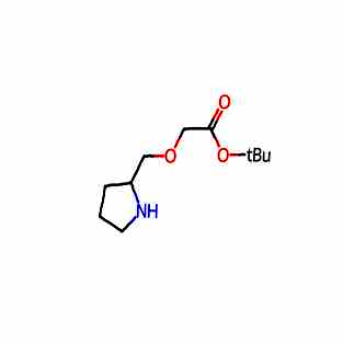 CC(C)(C)OC(=O)COCC1CCCN1